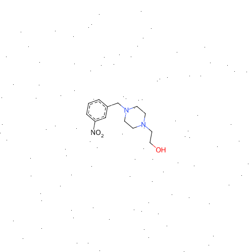 O=[N+]([O-])c1cccc(CN2CCN(CCO)CC2)c1